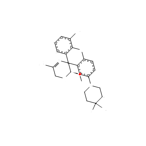 CO[C@H]1OCC(N)=NC12c1cc(N3CCC(F)(F)CC3)ccc1Oc1c(F)cccc12